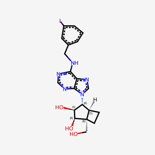 OC[C@@]12CC[C@@H]1[C@@H](n1cnc3c(NCc4cccc(I)c4)ncnc31)[C@H](O)[C@@H]2O